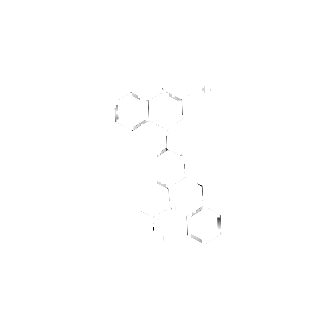 CC(C)[C@H](NC(=O)[C@H](Cc1ccccc1)NC(=O)N1CC(O)=Nc2ccccc21)C(=O)O